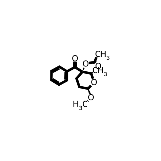 CO[C@H]1CC[C@@](OC(C)=O)(C(=O)c2ccccc2)[C@H](C)O1